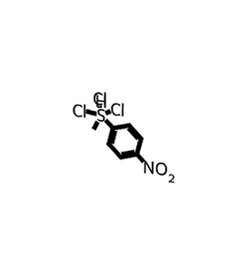 C[SH](Cl)(Cl)(Cl)c1ccc([N+](=O)[O-])cc1